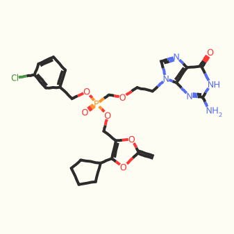 C=C1OC(COP(=O)(COCCn2cnc3c(=O)[nH]c(N)nc32)OCc2cccc(Cl)c2)=C(C2CCCC2)O1